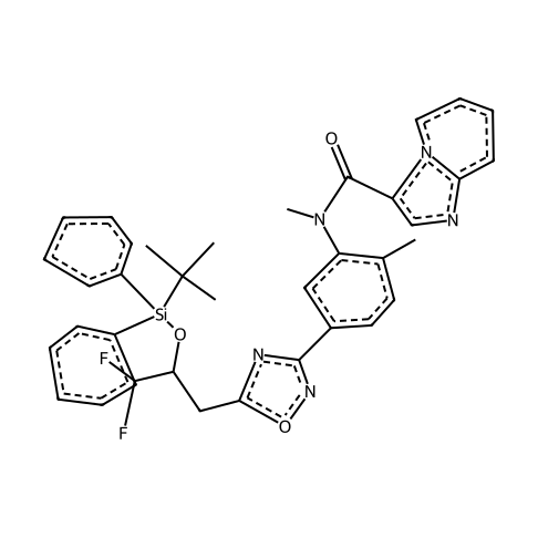 Cc1ccc(-c2noc(CC(O[Si](c3ccccc3)(c3ccccc3)C(C)(C)C)C(F)F)n2)cc1N(C)C(=O)c1cnc2ccccn12